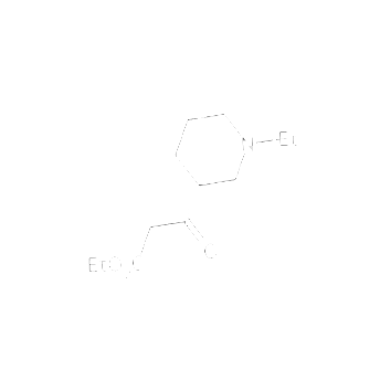 CCOC(=O)CC(=O)[C@@H]1CCCN(CC)C1